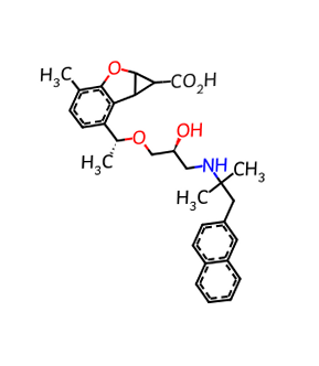 Cc1ccc([C@@H](C)OC[C@@H](O)CNC(C)(C)Cc2ccc3ccccc3c2)c2c1OC1C(C(=O)O)C21